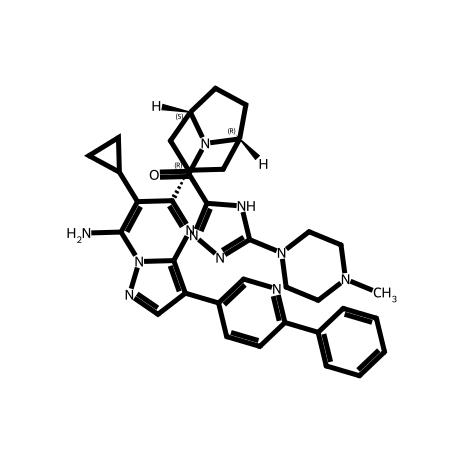 CN1CCN(c2nnc(C(=O)N3[C@@H]4CC[C@H]3C[C@@H](c3nc5c(-c6ccc(-c7ccccc7)nc6)cnn5c(N)c3C3CC3)C4)[nH]2)CC1